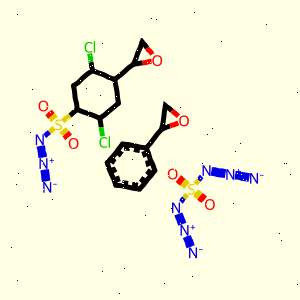 [N-]=[N+]=NS(=O)(=O)C1CC(Cl)C(C2CO2)CC1Cl.[N-]=[N+]=NS(=O)(=O)N=[N+]=[N-].c1ccc(C2CO2)cc1